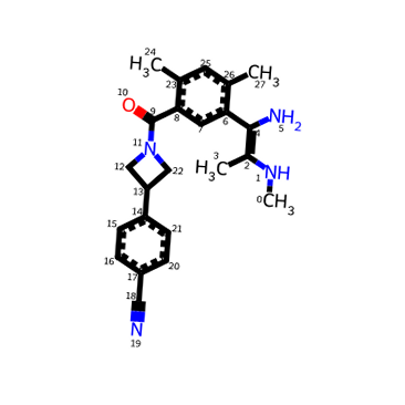 CN/C(C)=C(\N)c1cc(C(=O)N2CC(c3ccc(C#N)cc3)C2)c(C)cc1C